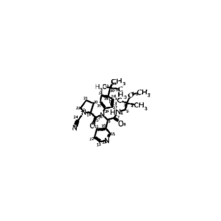 COC(C)(C)CNC(=O)C(c1cccnc1)N(C(=O)C1CCCN1C#N)c1ccc(C(C)(C)C)cc1